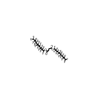 O=C(C=CC(=O)OC(F)C(F)(F)C(F)(F)C(F)(F)C(F)(F)C(F)(F)C(F)(F)C(F)F)OC(F)C(F)(F)C(F)(F)C(F)(F)C(F)(F)C(F)(F)C(F)(F)C(F)F